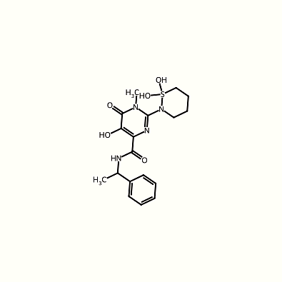 CC(NC(=O)c1nc(N2CCCCS2(O)O)n(C)c(=O)c1O)c1ccccc1